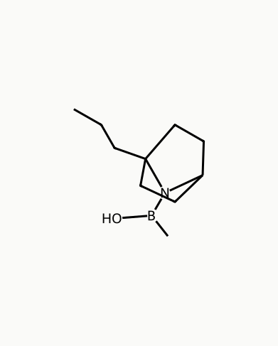 CCCC12CCC(CC1)N2B(C)O